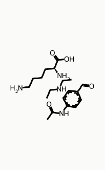 CC(=O)Nc1ccc(C=O)cc1.CCNCC.NCCCC[C@H](N)C(=O)O